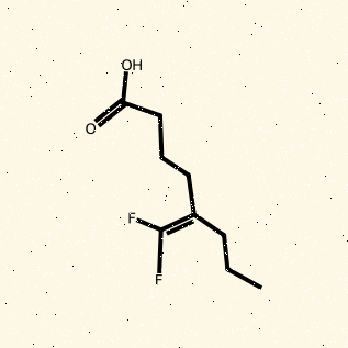 CCCC(CCCC(=O)O)=C(F)F